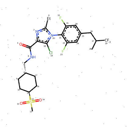 CCc1nc(C(=O)NC[C@H]2CC[C@H](S(C)(=O)=O)CC2)c(Cl)n1-c1c(F)cc(CC(C)C(F)(F)F)cc1F